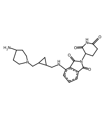 NC1CCN(CC2CC2CNc2cccc3c2C(=O)N(C2CCC(=O)NC2=O)C3=O)CC1